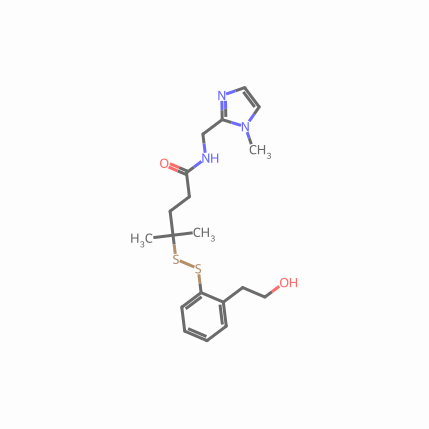 Cn1ccnc1CNC(=O)CCC(C)(C)SSc1ccccc1CCO